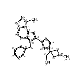 Cc1nnc2ccc3c(cc(-c4ccn(C5(CC#N)CN(C)C5)n4)n3Cc3ccccc3)n12